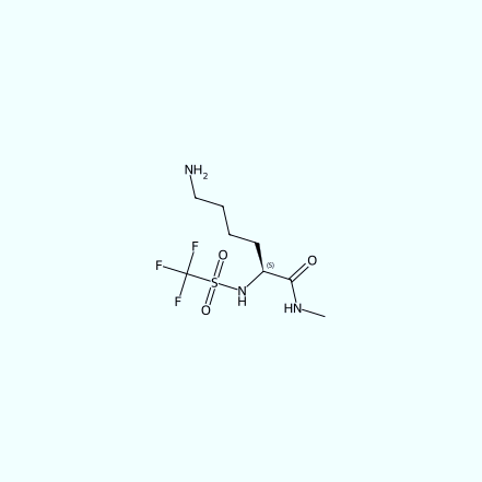 CNC(=O)[C@H](CCCCN)NS(=O)(=O)C(F)(F)F